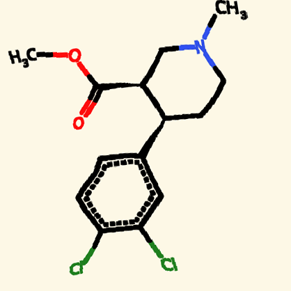 COC(=O)[C@H]1CN(C)CC[C@H]1c1ccc(Cl)c(Cl)c1